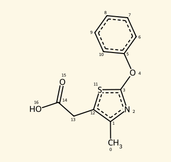 Cc1nc(Oc2ccccc2)sc1CC(=O)O